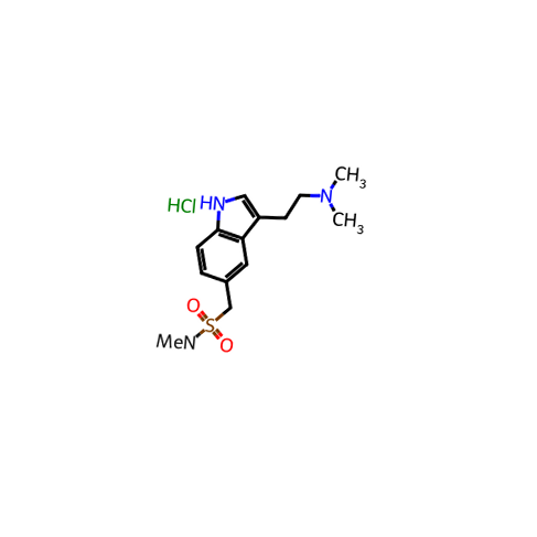 CNS(=O)(=O)Cc1ccc2[nH]cc(CCN(C)C)c2c1.Cl